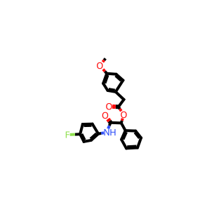 COc1ccc(CC(=O)OC(C(=O)Nc2ccc(F)cc2)c2ccccc2)cc1